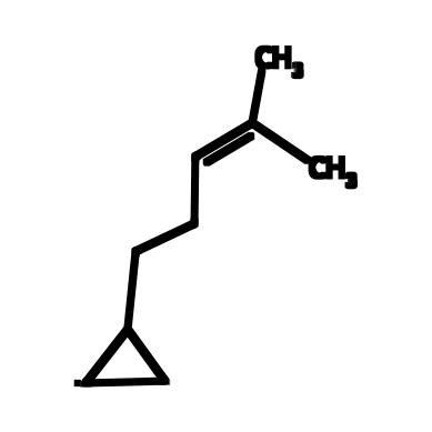 CC(C)=CCCC1[CH]C1